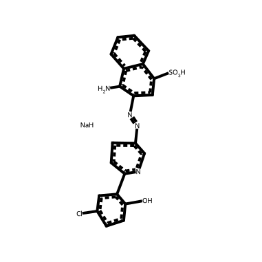 Nc1c(N=Nc2ccc(-c3cc(Cl)ccc3O)nc2)cc(S(=O)(=O)O)c2ccccc12.[NaH]